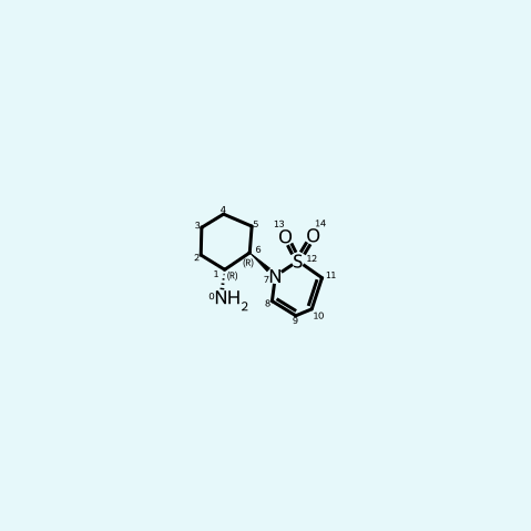 N[C@@H]1CCCC[C@H]1N1C=CC=CS1(=O)=O